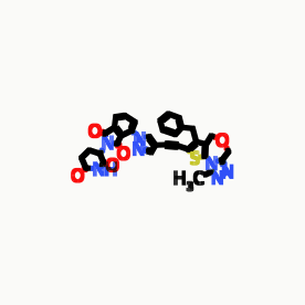 Cc1nnc2n1-c1sc(C#Cc3cnn(-c4cccc5c4C(=O)N(C4CCC(=O)NC4=O)C5=O)c3)c(Cc3ccccc3)c1COC2